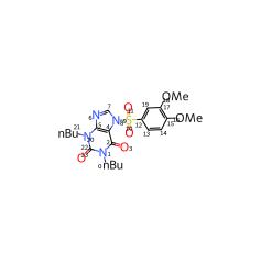 CCCCn1c(=O)c2c(ncn2S(=O)(=O)c2ccc(OC)c(OC)c2)n(CCCC)c1=O